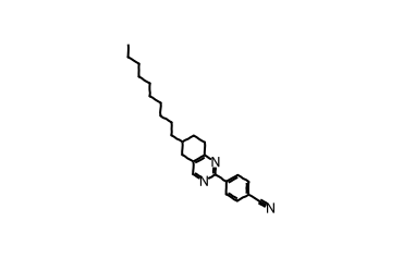 CCCCCCCCCCC1CCc2nc(-c3ccc(C#N)cc3)ncc2C1